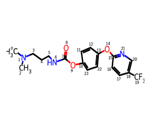 CN(C)CCCNC(=O)Oc1ccc(Oc2ccc(C(F)(F)F)cn2)cc1